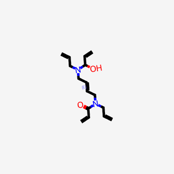 C=CCN(C/C=C/CN(CC=C)C(O)C=C)C(=O)C=C